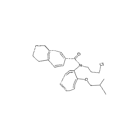 CC(C)COc1ccccc1N(CCCCl)C(=O)c1ccc2c(c1)CCCC2